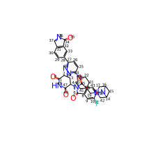 O=C1CCC(N2C(=O)c3cc(F)c(N4C5CC4CN(CC4CCN(c6ccc(-c7ccc8c(c7)C(=O)N=C8)nn6)CC4)C5)cc3C2=O)C(=O)N1